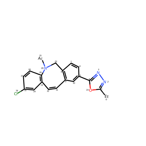 CCc1nnc(-c2ccc3c(c2)C=Cc2cc(Cl)ccc2N(C(C)=O)C3)o1